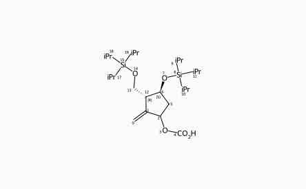 C=C1C(OC(=O)O)C[C@H](O[Si](C(C)C)(C(C)C)C(C)C)[C@H]1CO[Si](C(C)C)(C(C)C)C(C)C